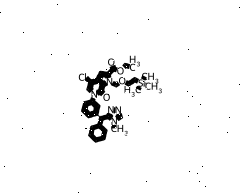 CCOC(=O)c1cc2c(Cl)cn(-c3cccc([C@H](c4nncn4C)C4CCCCC4)c3)c(=O)c2n1COCC[Si](C)(C)C